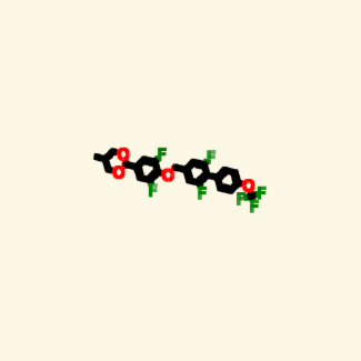 CC1COC(c2cc(F)c(OCc3cc(F)c(-c4ccc(OC(F)(F)F)cc4)c(F)c3)c(F)c2)OC1